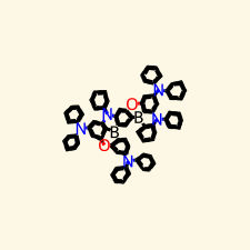 c1ccc(N(c2ccccc2)c2ccc3c(c2)Oc2cc(N(c4ccccc4)c4ccccc4)cc4c2B3c2cc3c(cc2N4c2ccccc2)Oc2cc(N(c4ccccc4)c4ccccc4)cc4c2B3c2ccccc2N4c2ccccc2)cc1